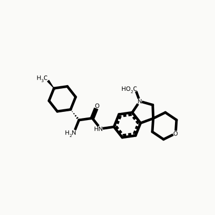 C[C@H]1CC[C@H](C(N)C(=O)Nc2ccc3c(c2)N(C(=O)O)CC32CCOCC2)CC1